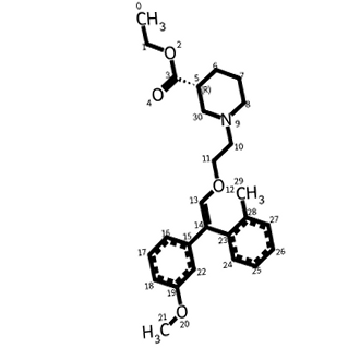 CCOC(=O)[C@@H]1CCCN(CCOC=C(c2cccc(OC)c2)c2ccccc2C)C1